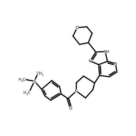 C[Si](C)(C)c1ccc(C(=O)N2CCC(c3ccnc4[nH]c(C5CCOCC5)nc34)CC2)cc1